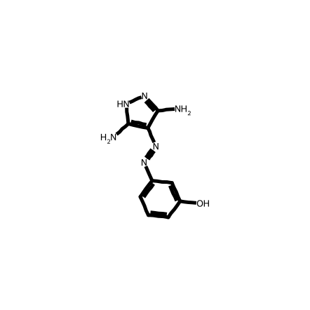 Nc1n[nH]c(N)c1N=Nc1cccc(O)c1